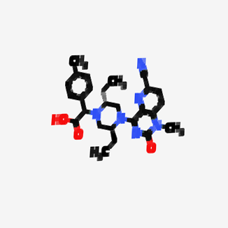 CC[C@H]1CN(C(C(=O)O)c2ccc(C)cc2)[C@H](CC)CN1c1nc(=O)n(C)c2ccc(C#N)nc12